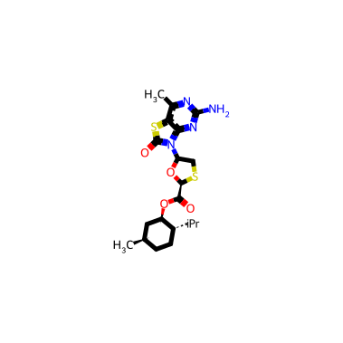 Cc1nc(N)nc2c1sc(=O)n2C1CS[C@@H](C(=O)O[C@@H]2C[C@H](C)CC[C@H]2C(C)C)O1